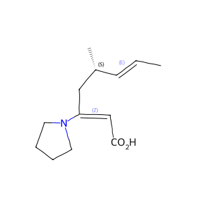 C/C=C/[C@@H](C)C/C(=C/C(=O)O)N1CCCC1